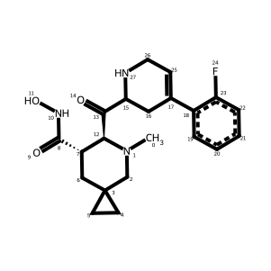 CN1CC2(CC2)C[C@H](C(=O)NO)[C@H]1C(=O)C1CC(c2ccccc2F)=CCN1